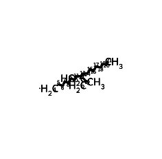 C=C(C)C(=O)O.[CH2]CCCCCCCCCCCCCCCCC